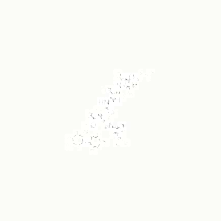 CCCCON1C(=O)N2C[C@@H]1CC[C@H]2C(=O)NNC(=O)CN(C(=O)OCC1c2ccccc2-c2ccccc21)C1CN(C(=O)OC(C)(C)C)C1